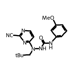 COc1cccc(NC(=O)NN(CC(C)(C)C)c2ccnc(C#N)n2)c1